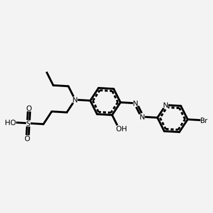 CCCN(CCCS(=O)(=O)O)c1ccc(N=Nc2ccc(Br)cn2)c(O)c1